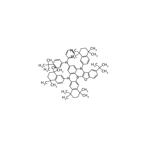 CC(C)(C)c1ccc(N(c2ccccc2)c2cc3c4c(c2)N(c2ccc5c(c2)C(C)(C)CCC5(C)C)c2c(oc5ccc(C(C)(C)C)cc25)B4c2cc4c(cc2N3c2ccc3c(c2)C(C)(C)CCC3(C)C)C(C)(C)CCC4(C)C)cc1